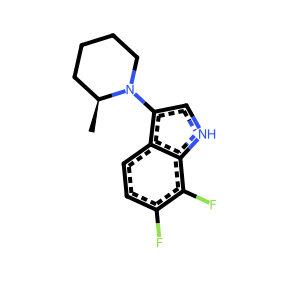 C[C@H]1CCCCN1c1c[nH]c2c(F)c(F)ccc12